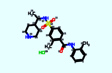 Cc1ccccc1NC(=O)c1ccc(S(=O)(=O)N[C@H](C)C2CCNCC2)cc1C.Cl